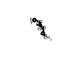 COc1cccc(CNC(=O)c2cc3ccn(Cc4ccc(F)c(F)c4)c(=O)n3c2)c1